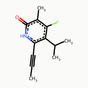 CC#Cc1[nH]c(=O)c(C)c(F)c1C(C)C